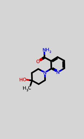 CC1(O)CCN(c2ncccc2C(N)=O)CC1